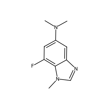 CN(C)c1cc(F)c2c(c1)ncn2C